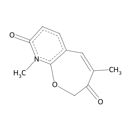 CC1=Cc2ccc(=O)n(C)c2OCC1=O